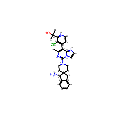 Cc1nc(N2CCC3(CC2)Cc2ccccc2[C@H]3N)n2ccnc2c1-c1ccnc(C(C)(C)O)c1Cl